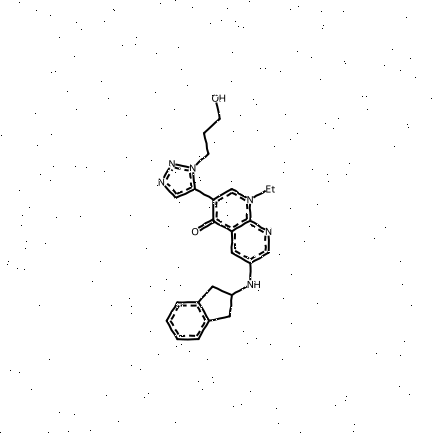 CCn1cc(-c2cnnn2CCCO)c(=O)c2cc(NC3Cc4ccccc4C3)cnc21